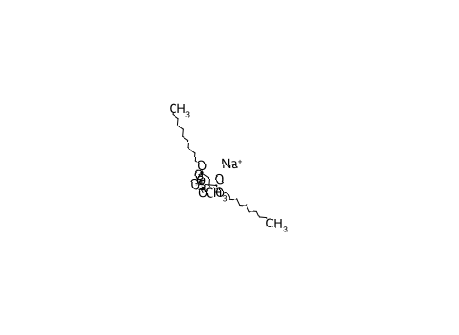 CCCCCCCCCCOC(=O)CC(C)(C(=O)OCCCCCCCCCC)S(=O)(=O)[O-].[Na+]